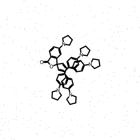 O=C1OC(C=C(c2ccc(N3CCCC3)cc2)c2ccc(N3CCCC3)cc2)(C=C(c2ccc(N3CCCC3)cc2)c2ccc(N3CCCC3)cc2)c2cc(N3CCCC3)ccc21